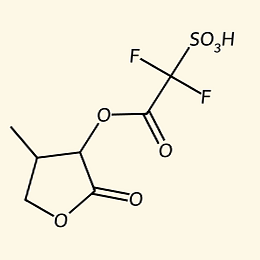 CC1COC(=O)C1OC(=O)C(F)(F)S(=O)(=O)O